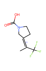 C/C(=C1/CCN(C(=O)O)C1)C(F)(F)F